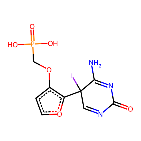 NC1=NC(=O)N=CC1(I)c1occc1OCP(=O)(O)O